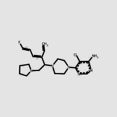 C=C/C(=C\C=C\F)C(CN1CCCC1)N1CCN(c2ncnc(N)c2Cl)CC1